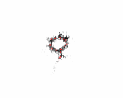 CCCCCCCCCCCCCC(=O)N[C@H](CCN)C(=O)N[C@H]1CCNC(=O)[C@H](CC(C)C)NC(=O)[C@H](CCN)NC(=O)[C@H](CCN)NC(=O)[C@@H](Cc2ccccc2)NC(=O)[C@H](CC(C)C)NC(=O)[C@H](CCN)NC1=O